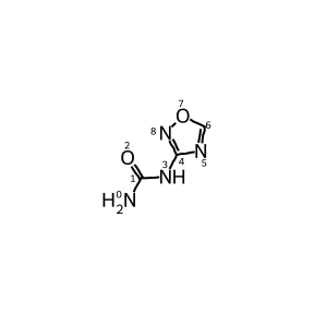 NC(=O)Nc1ncon1